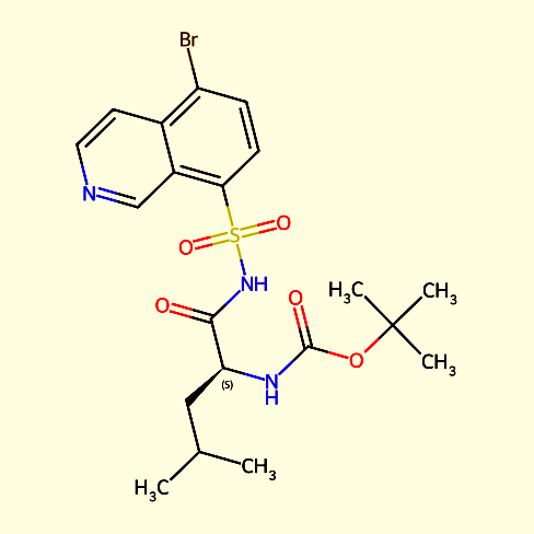 CC(C)C[C@H](NC(=O)OC(C)(C)C)C(=O)NS(=O)(=O)c1ccc(Br)c2ccncc12